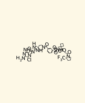 Nc1nc(N)c(C(=O)/N=C2\NCC3(CCN(C(=O)c4cccc(S(=O)(=O)NCC5(C(=O)OCC(=O)N6CCCC6C(F)(F)F)CCC5)c4)CC3)N2)nc1Cl